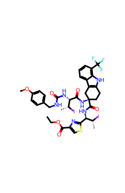 CCOC(=O)c1csc([C@@H](NC(=O)[C@@]2(NC(=O)[C@@H](NC(=O)NCc3ccc(OC)cc3)[C@@H](C)I)CCc3[nH]c4c(C(F)(F)F)cccc4c3C2)[C@@H](C)I)n1